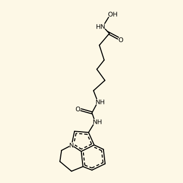 O=C(CCCCCNC(=O)Nc1cn2c3c(cccc13)CCC2)NO